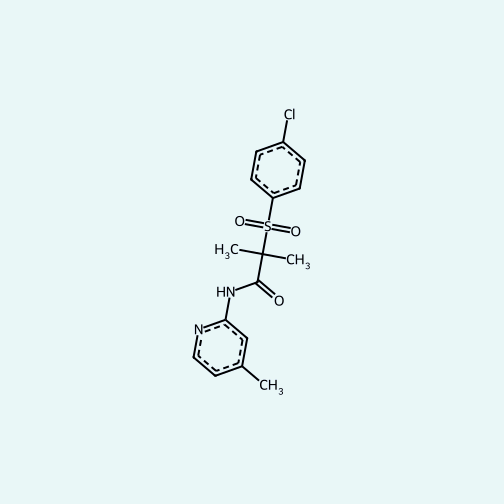 Cc1ccnc(NC(=O)C(C)(C)S(=O)(=O)c2ccc(Cl)cc2)c1